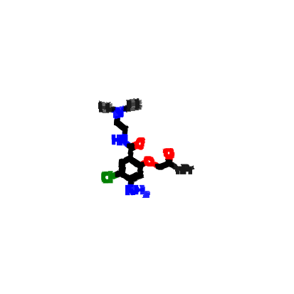 CCCC(=O)COc1cc(N)c(Cl)cc1C(=O)NCCN(CC)CC